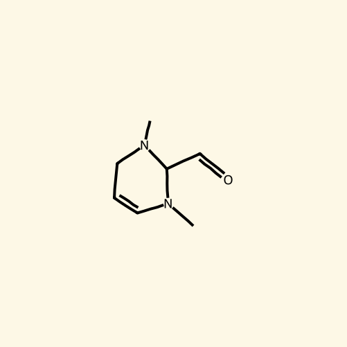 CN1C=CCN(C)C1C=O